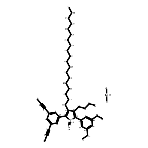 CC#Cc1cc(C#CC)cc(C2=C(CCCCCCCCCCCCCCCCCCC)C(CCCC)=C(c3cc(CC)cc(CC)c3)[N+]2=[N-])c1.[CH3][Ni][CH3]